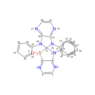 [O-][S+]1c2nccnc2N(c2ccccc2)C12N(c1ccccc1)c1nccnc1N2c1ccccc1